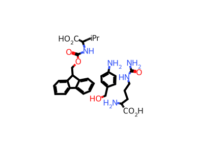 CC(C)C(NC(=O)OCC1c2ccccc2-c2ccccc21)C(=O)O.NC(=O)NCCCC(N)C(=O)O.Nc1ccc(CO)cc1